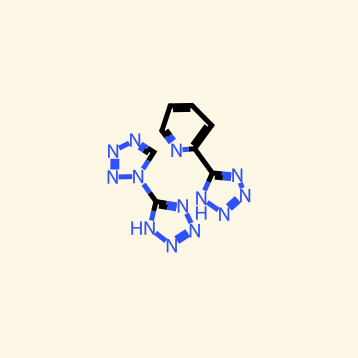 c1ccc(-c2nnn[nH]2)nc1.c1nnnn1-c1nnn[nH]1